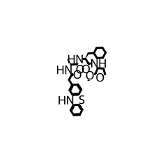 COC1OCC[C@@H]1NC(=O)[C@H](CC1CCCCC1)NC(=O)[C@H](C)NC(=O)Cc1ccc2c(c1)Nc1ccccc1S2